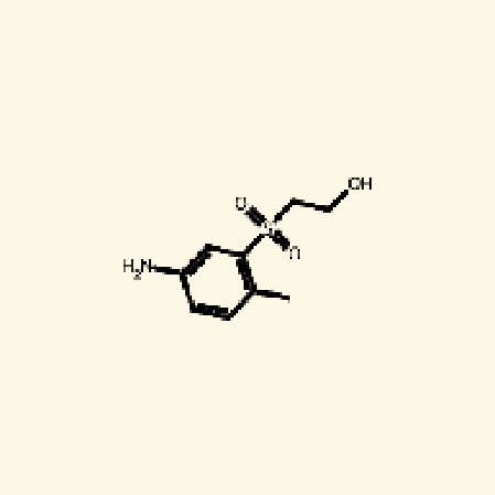 Cc1ccc(N)cc1S(=O)(=O)CCO